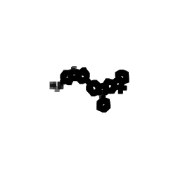 Bc1ccc2sc3ccc(-c4ccc5c(c4)c4cc6c(cc4n5-c4ccccc4)C(C)(C)c4ccccc4-6)cc3c2c1